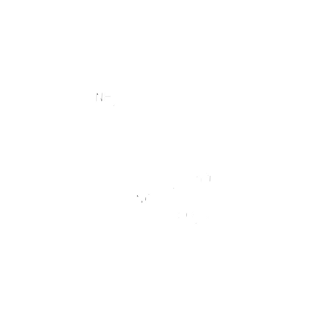 CCCC(C#N)(Cc1cccc(N)c1)C(=O)OCC